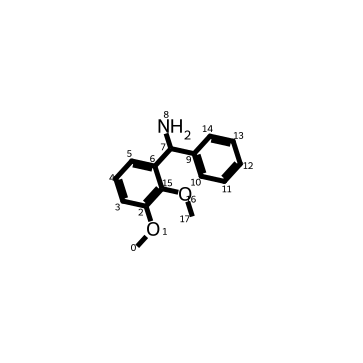 COc1cccc(C(N)c2ccccc2)c1OC